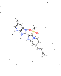 CCS(=O)(=O)c1c(-c2nc3cc(C(F)(F)F)cnc3n2C)nc2cc(/C=C/C3CC3)ccn12